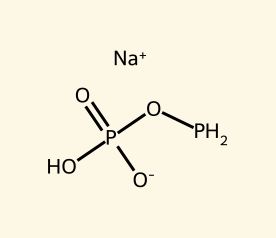 O=P([O-])(O)OP.[Na+]